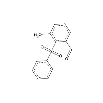 Cc1cccc(C=O)c1S(=O)(=O)c1ccccc1